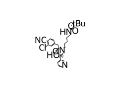 CC(C)(C)OC(=O)NCCCCCN(C[C@@H](O)c1cccnc1)C(=O)Cc1ccc(C#N)c(Cl)c1